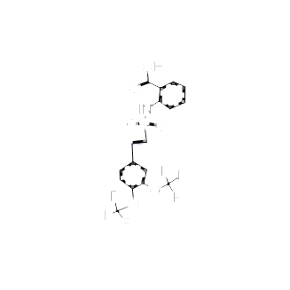 O=C(O)c1ccccc1NS(=O)(=O)/C=C/c1ccc(OC(F)(F)F)c(OC(F)(F)F)c1